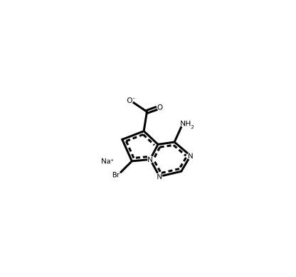 Nc1ncnn2c(Br)cc(C(=O)[O-])c12.[Na+]